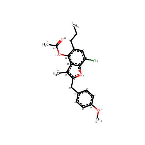 CCCc1cc(Cl)c2oc(Cc3ccc(OC)cc3)c(C)c2c1OC(C)=O